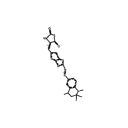 CC1CC(C)(C)N(C)c2ccc(/N=N/c3nc4sc(/C=C5/NC(=O)SC5=O)cc4s3)cc21